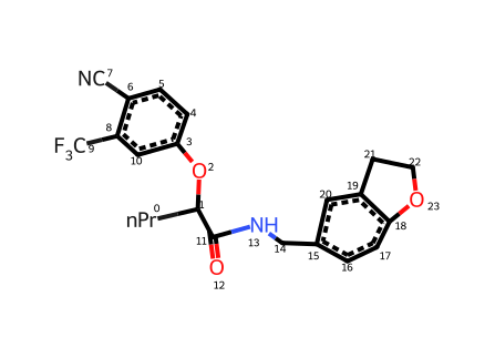 CCCC(Oc1ccc(C#N)c(C(F)(F)F)c1)C(=O)NCc1ccc2c(c1)CCO2